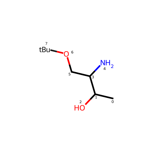 CC(O)C(N)COC(C)(C)C